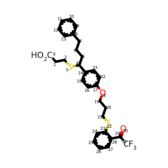 O=C(O)CCSC(CCCc1ccccc1)c1ccc(OCCCSc2ccccc2C(=O)C(F)(F)F)cc1